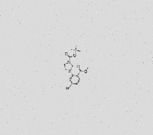 COC(=O)c1ccc(Br)cc1[C@@H]1CCN(C(=O)OC(C)(C)C)C1